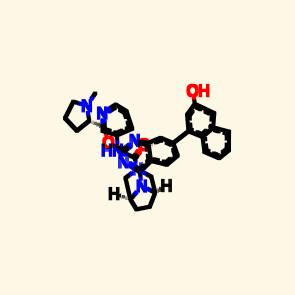 CN1CCC[C@H]1COc1nc(N2[C@@H]3CC[C@H]2CN(C(=O)Nc2cccnc2)C3)c2ccc(-c3cc(O)cc4ccccc34)cc2n1